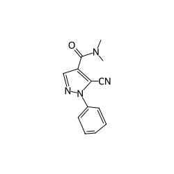 CN(C)C(=O)c1cnn(-c2ccccc2)c1C#N